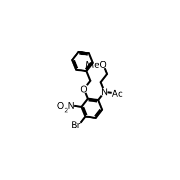 COCCN(C(C)=O)c1ccc(Br)c([N+](=O)[O-])c1OCc1ccccc1